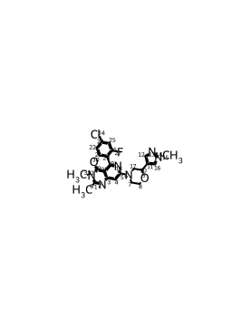 Cc1nc2cc(N3CCOC(c4cnn(C)c4)C3)nc(-c3ccc(Cl)cc3F)c2c(=O)n1C